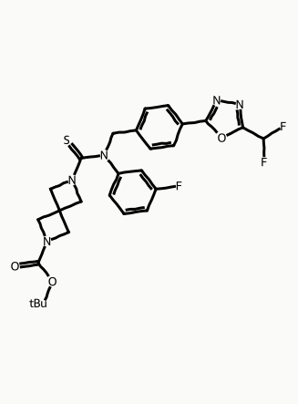 CC(C)(C)OC(=O)N1CC2(C1)CN(C(=S)N(Cc1ccc(-c3nnc(C(F)F)o3)cc1)c1cccc(F)c1)C2